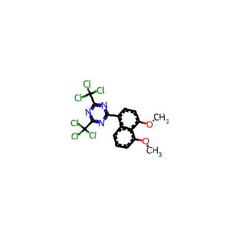 COc1cccc2c(-c3nc(C(Cl)(Cl)Cl)nc(C(Cl)(Cl)Cl)n3)ccc(OC)c12